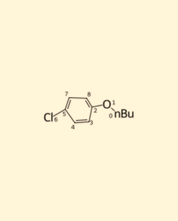 [CH2]CCCOc1ccc(Cl)cc1